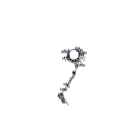 CO[C@H]1C[C@@H]2CC[C@@H](C)[C@@](O)(O2)C(=O)C(=O)N2CCCC[C@H]2C(=O)O[C@H]([C@H](N)C[C@@H]2CC[C@@H](OCCCCc3cn(CCOCCOCCOCCNC(=O)CCCC(=O)NCCCCn4nc(-c5ccc6oc(N)nc6c5)c5c(N)ncnc54)nn3)[C@H](OC)C2)CC(=O)[C@H](C)/C=C(\C)[C@@H](O)[C@@H](OC)C(=O)[C@H](C)C[C@H](C)/C=C/C=C/C=C/1C